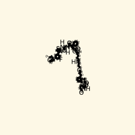 C[C@@H]1CN(c2cc(F)cc(-c3csc(NC(=O)CNC(=O)c4cn(S(=O)(=O)N(C)CCCCNCCCOCCCc5cccc6c5n(C)c(=O)n6C5CCC(=O)NC5=O)c5ccccc45)n3)c2)C[C@H](C)O1